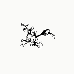 Cn1cnn(C[C@@H]2[C@H](NC(=O)C(=NOC(C)(C)C(=O)O)c3csc(N)n3)C(=O)N2S(=O)(=O)O)c1=O